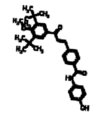 COc1c(C(C)(C)C)cc(C(=O)C=Cc2ccc(C(=O)Nc3ccc(O)cc3)cc2)cc1C(C)(C)C